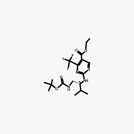 CCOC(=O)c1cnc(N[C@@H](CNC(=O)OC(C)(C)C)C(C)C)nc1C(F)(F)F